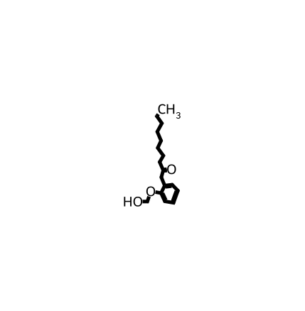 CCCCCCCCC(=O)Cc1ccccc1OCO